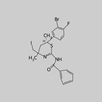 CC1(CI)C[C@@](C)(c2ccc(F)c(Br)c2)SC(NC(=O)c2ccccc2)=N1